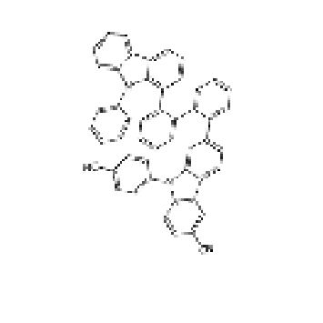 N#Cc1ccc(-n2c3ccc(C#N)cc3c3ccc(-c4ccccc4-c4ccccc4-c4cccc5c6ccccc6n(-c6ccccc6)c45)cc32)cc1